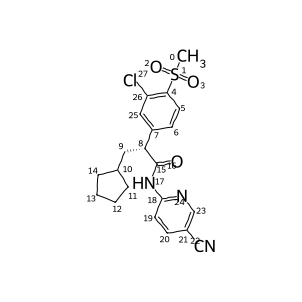 CS(=O)(=O)c1ccc([C@@H](CC2CCCC2)C(=O)Nc2ccc(C#N)cn2)cc1Cl